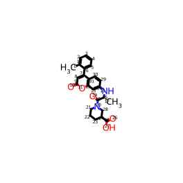 Cc1ccccc1-c1cc(=O)oc2cc(N[C@H](C)C(=O)N3CCCC(C(=O)O)C3)ccc12